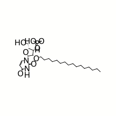 CCCCCCCCCCCCCCCCO[C@H]1C(O[PH](=O)O)[C@@H](CO)O[C@H]1n1ccc(=O)[nH]c1=O